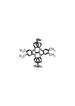 Cc1cc2c(cc1C)N(c1ccc(C(C)(C)C)cc1)C(=C1N(c3ccc(C(C)(C)C)cc3)c3cc(C)c(C)cc3N1c1ccc(C(C)(C)C)cc1)N2c1ccc(C(C)(C)C)cc1